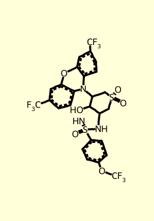 N=S(=O)(NC1CS(=O)(=O)CC(N2c3ccc(C(F)(F)F)cc3Oc3cc(C(F)(F)F)ccc32)C1O)c1ccc(OC(F)(F)F)cc1